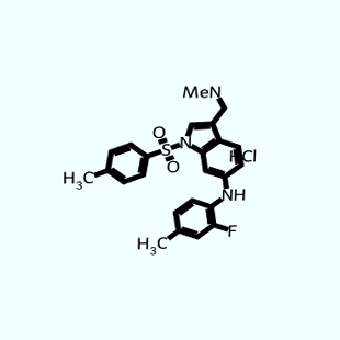 CNCc1cn(S(=O)(=O)c2ccc(C)cc2)c2cc(Nc3ccc(C)cc3F)ccc12.Cl